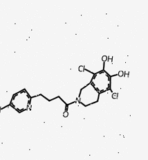 O=C(CCCc1ccc(Cl)cn1)N1CCc2c(Cl)c(O)c(O)c(Cl)c2C1